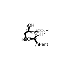 CCC(C)CC(O)OC(=O)O.CCCCCC(O)O